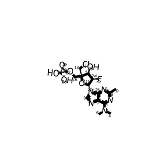 Cc1nc(N(C)C)c2ncn([C@@H]3O[C@](CCl)(COP(=O)(O)O)[C@@H](O)[C@H]3F)c2n1